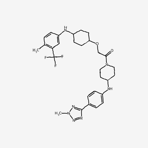 Cc1ccc(NC2CCC(OCC(=O)N3CCC(Nc4ccc(-c5nnn(C)n5)cc4)CC3)CC2)cc1C(F)(F)F